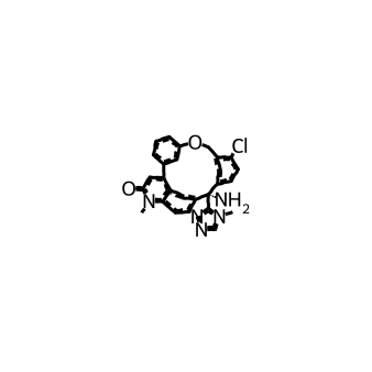 Cn1cnnc1[C@]1(N)c2ccc(Cl)c(c2)COc2cccc(c2)-c2cc(=O)n(C)c3ccc1cc23